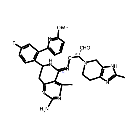 COc1cccc(-c2cc(F)ccc2C2Cc3nc(N)nc(C)c3/C(=N/O[C@H](C=O)N3CCc4nc(C)[nH]c4C3)N2)n1